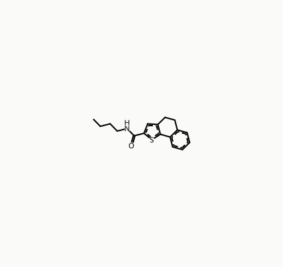 CCCCNC(=O)c1cc2c(s1)-c1ccccc1CC2